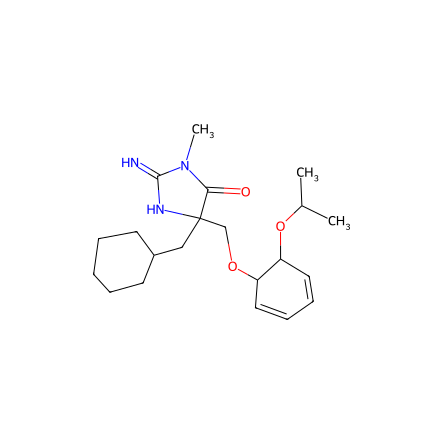 CC(C)OC1C=CC=CC1OCC1(CC2CCCCC2)NC(=N)N(C)C1=O